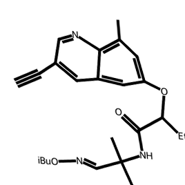 C#Cc1cnc2c(C)cc(OC(CC)C(=O)NC(C)(C)C=NOCC(C)C)cc2c1